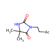 CC(=O)CCN1C(=O)NC(C)(C)C1=O